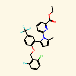 CCOC(=O)c1cccc(-n2c(C)ccc2-c2cc(C(F)(F)F)ccc2OCc2c(F)cccc2Cl)n1